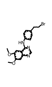 COc1cc2ncnc(Nc3ccc(CCBr)cc3)c2cc1OC